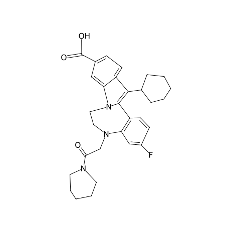 O=C(O)c1ccc2c(C3CCCCC3)c3n(c2c1)CCN(CC(=O)N1CCCCC1)c1cc(F)ccc1-3